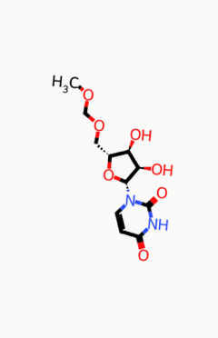 COCOC[C@H]1O[C@@H](n2ccc(=O)[nH]c2=O)[C@H](O)[C@@H]1O